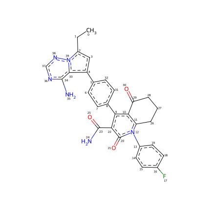 CCc1cc(-c2ccc(-c3c4c(n(-c5ccc(F)cc5)c(=O)c3C(N)=O)CCCC4=O)cc2)c2c(N)ncnn12